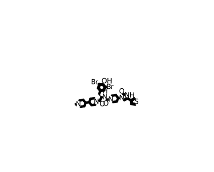 CN1CCC(C2CCN(C(=O)[C@@H](Cc3cc(Br)c(O)c(Br)c3)NC(=O)N3CCC(n4cc(-c5ccsc5)[nH]c4=O)CC3)CC2)CC1